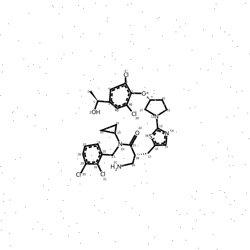 C[C@H](O)c1cc(Cl)c(O[C@@H]2CCN(c3ncc(C[C@H](CN)C(=O)N(Cc4cccc(Cl)c4Cl)C4CC4)s3)C2)c(Cl)c1